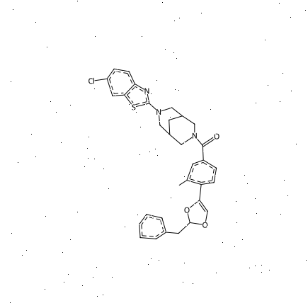 Cc1cc(C(=O)N2CC3CC(C2)CN(c2nc4ccc(Cl)cc4s2)C3)ccc1C1=COC(Cc2ccccc2)O1